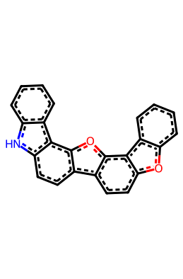 c1ccc2c(c1)[nH]c1ccc3c4ccc5oc6ccccc6c5c4oc3c12